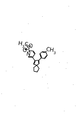 Cc1ccc(C2=CC3(C=C2c2ccc(S(C)(=O)=O)nc2)CCCC3)cc1